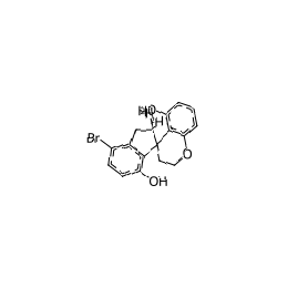 [2H]C1([2H])Cc2c(Br)ccc(O)c2C12CCOc1cccc(O)c12